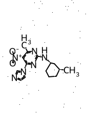 Cc1nc(N[C@@H]2CCC[C@H](C)C2)nc(-n2ccnc2)c1[N+](=O)[O-]